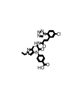 CCn1ccc(C[C@H](NC(=O)C=Cc2cc(Cl)ccc2-n2cnnn2)C(=O)Nc2ccc(C(=O)O)cc2)n1